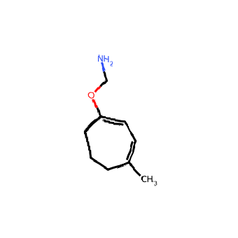 CC1=CC=C(OCN)CCC1